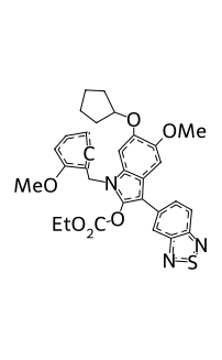 CCOC(=O)Oc1c(-c2ccc3nsnc3c2)c2cc(OC)c(OC3CCCC3)cc2n1Cc1ccccc1OC